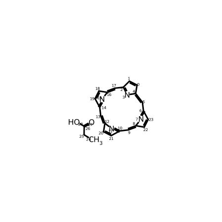 C1=CC2=NC1=CC1=NC(=CC3=NC(=CC4=NC(=C2)C=C4)C=C3)C=C1.CCC(=O)O